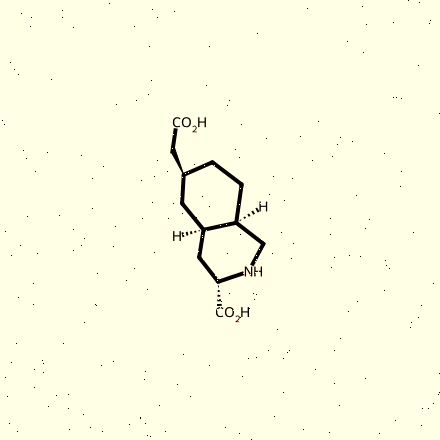 O=C(O)C[C@H]1CC[C@H]2CN[C@H](C(=O)O)C[C@H]2C1